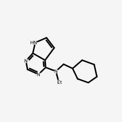 CCN(CC1CCCCC1)c1ncnc2[nH]ccc12